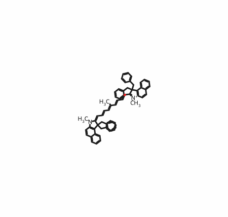 CC(/C=C/C=C/C1=[N+](C)c2ccc3ccccc3c2C1(Cc1ccccc1)Cc1ccccc1)=C\C=C\C=C1\N(C)c2ccc3ccccc3c2C1(Cc1ccccc1)Cc1ccccc1